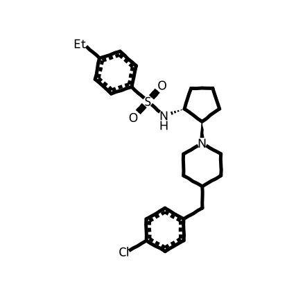 CCc1ccc(S(=O)(=O)N[C@@H]2CCC[C@H]2N2CCC(Cc3ccc(Cl)cc3)CC2)cc1